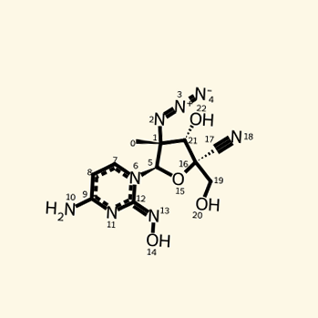 C[C@]1(N=[N+]=[N-])[C@H](n2ccc(N)n/c2=N\O)O[C@](C#N)(CO)[C@H]1O